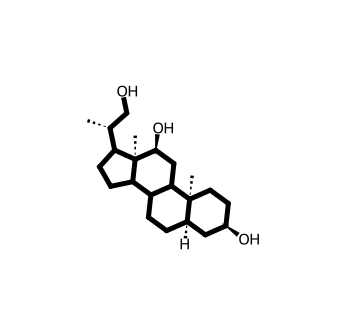 C[C@H](CO)C1CCC2C3CC[C@@H]4C[C@H](O)CC[C@]4(C)C3C[C@H](O)[C@@]21C